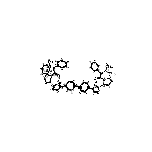 CN(C)[C@@H](C(=O)N1CCC[C@H]1c1ncc(-c2ccc(-c3ccc(-c4cnc([C@@H]5COC6(CCCCC6)N5C(=O)[C@@H](c5ccccc5)N(C)C)[nH]4)cn3)cc2)[nH]1)c1ccccc1